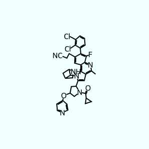 Cc1nc2c(F)c(-c3cccc(Cl)c3Cl)c(CCC#N)cc2c2c1cc(C1CC(Oc3ccncc3)CN1C(=O)C1CC1)n2C1C2CNC1C2